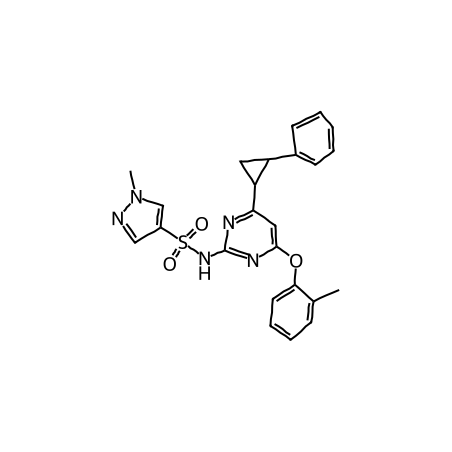 Cc1ccccc1Oc1cc(C2CC2c2ccccc2)nc(NS(=O)(=O)c2cnn(C)c2)n1